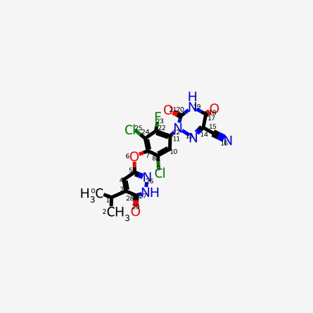 CC(C)c1cc(Oc2c(Cl)cc(-n3nc(C#N)c(=O)[nH]c3=O)c(F)c2Cl)n[nH]c1=O